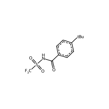 CC(C)(C)c1ccc(C(=O)NS(=O)(=O)C(F)(F)F)cc1